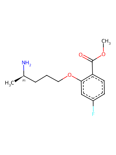 COC(=O)c1ccc(F)cc1OCCC[C@@H](C)N